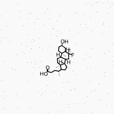 C[C@H](CCC(=O)O)C1CC[C@H]2[C@@H]3CC(F)(F)[C@@H]4C[C@H](O)CC[C@]4(C)[C@H]3CC[C@]12C